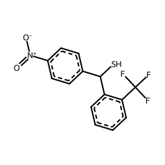 O=[N+]([O-])c1ccc(C(S)c2ccccc2C(F)(F)F)cc1